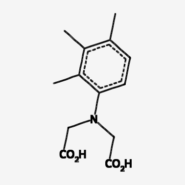 Cc1ccc(N(CC(=O)O)CC(=O)O)c(C)c1C